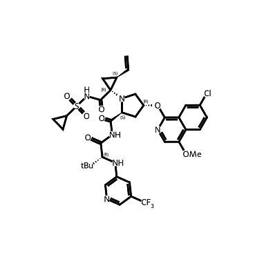 C=C[C@@H]1C[C@@]1(C(=O)NS(=O)(=O)C1CC1)N1C[C@H](Oc2ncc(OC)c3ccc(Cl)cc23)C[C@H]1C(=O)NC(=O)[C@H](Nc1cncc(C(F)(F)F)c1)C(C)(C)C